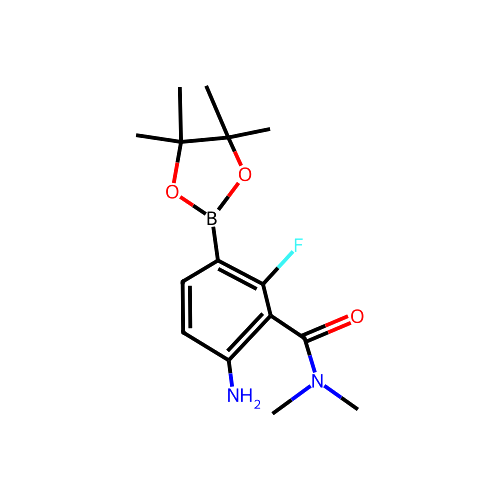 CN(C)C(=O)c1c(N)ccc(B2OC(C)(C)C(C)(C)O2)c1F